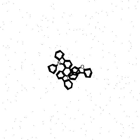 Cc1ccccc1-c1ccc2c3ccccc3n(-c3ccccc3)c2c1-c1cccc2c3c(n(-c4ccc5oc6ccccc6c5c4)c12)CCC=C3